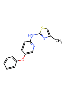 Cc1csc(Nc2ccc(Oc3ccccc3)cn2)n1